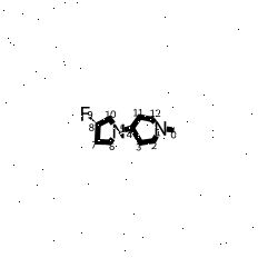 CN1CCC(N2CC[C@H](F)C2)CC1